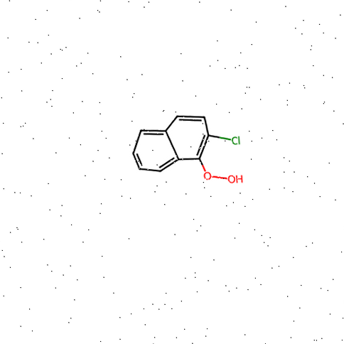 OOc1c(Cl)ccc2ccccc12